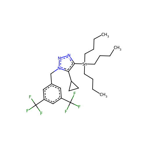 CCC[CH2][Sn]([CH2]CCC)([CH2]CCC)[c]1nnn(Cc2cc(C(F)(F)F)cc(C(F)(F)F)c2)c1C1CC1